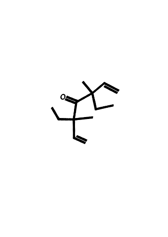 C=CC(C)(CC)C(=O)C(C)(C=C)CC